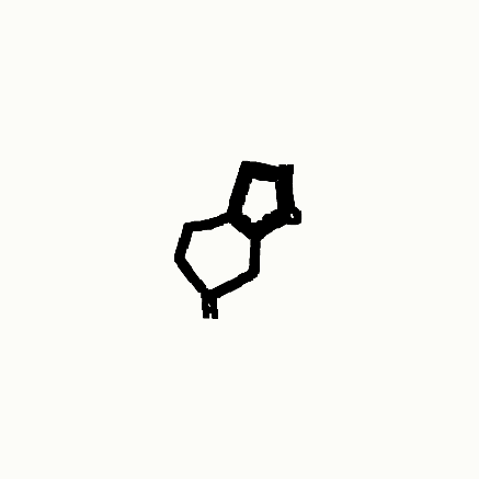 c1noc2c1CCNC2